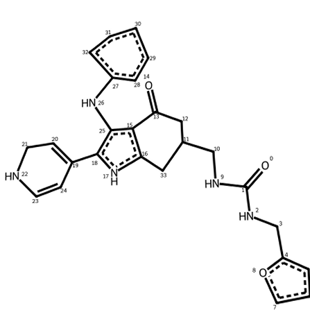 O=C(NCc1ccco1)NCC1CC(=O)c2c([nH]c(C3=CCNC=C3)c2Nc2ccccc2)C1